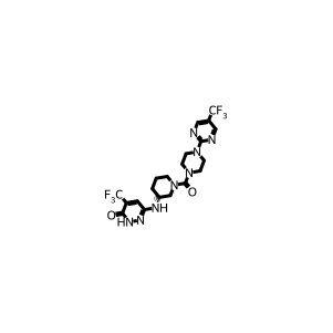 O=C(N1CCN(c2ncc(C(F)(F)F)cn2)CC1)N1CCC[C@@H](Nc2cc(C(F)(F)F)c(=O)[nH]n2)C1